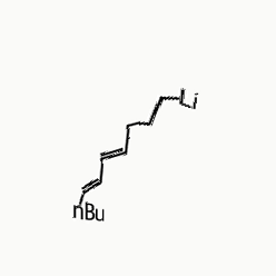 [Li][CH2]CC/C=C/C=C/CCCC